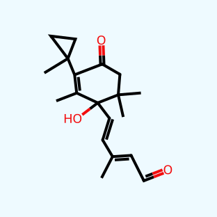 CC(C=CC1(O)C(C)=C(C2(C)CC2)C(=O)CC1(C)C)=CC=O